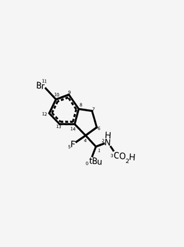 CC(C)(C)C(NC(=O)O)C1(F)CCc2cc(Br)ccc21